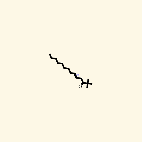 CCCCCCCC/C=C/CC(=O)C(C)(C)C